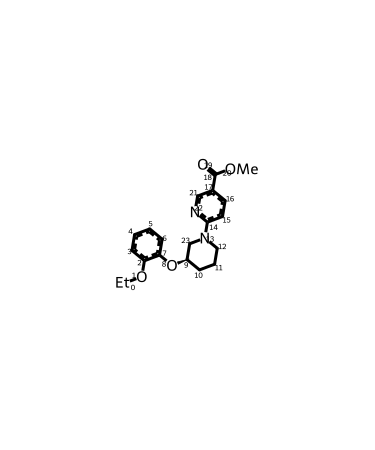 CCOc1ccccc1O[C@@H]1CCCN(c2ccc(C(=O)OC)cn2)C1